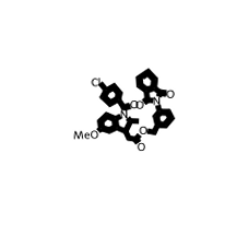 COc1ccc2c(c1)C(CC(=O)OCc1cccc(N3C(=O)c4ccccc4C3=O)c1)C(C)N2C(=O)c1ccc(Cl)cc1